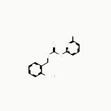 COc1ccccc1CNC(=N)Nc1cccc(C)n1